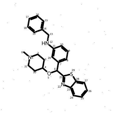 CN1CCC(OC(c2cccc(NCc3ccccc3)c2)c2nc3ccccc3s2)CC1